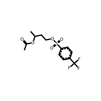 CC(=O)OC(C)CCOS(=O)(=O)c1ccc(C(F)(F)F)cc1